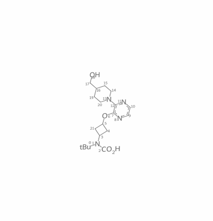 CC(C)(C)N(C(=O)O)C1CC(Oc2nccnc2N2CCC(CO)CC2)C1